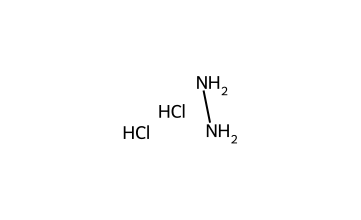 Cl.Cl.NN